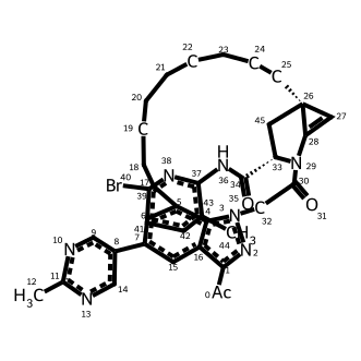 CC(=O)c1nn2c3c(cc(-c4cnc(C)nc4)cc13)CCCCCCCCC[C@]13C=C1N(C(=O)C2)[C@H](C(=O)Nc1nc(Br)ccc1C)C3